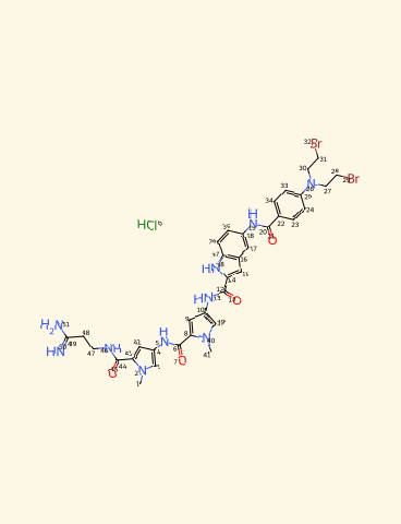 Cl.Cn1cc(NC(=O)c2cc(NC(=O)c3cc4cc(NC(=O)c5ccc(N(CCBr)CCBr)cc5)ccc4[nH]3)cn2C)cc1C(=O)NCCC(=N)N